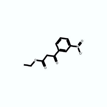 CCOC(=O)CC(=O)c1cccc([N+](=O)[O-])c1